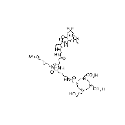 COCCOCCNC(=O)C(CCCCNC(=O)CN1CCN(CC(=O)O)CCN(CC(=O)O)CCN(CC(=O)O)CC1)NC(=O)CCC(=O)NCc1cc(C(=O)NC(C)C(=O)N2CC(F)(F)C[C@H]2C#N)ccn1